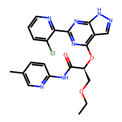 CCOC[C@H](Oc1nc(-c2ncccc2Cl)nc2[nH]ncc12)C(=O)Nc1ccc(C)cn1